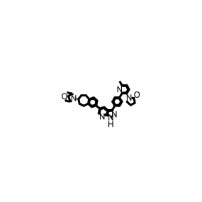 Cc1ccc(N2CCCC2=O)c(-c2ccc(-c3n[nH]c4ncc(-c5ccc6c(c5)CC[C@@H](N5C7COCC5C7)CC6)cc34)cc2)n1